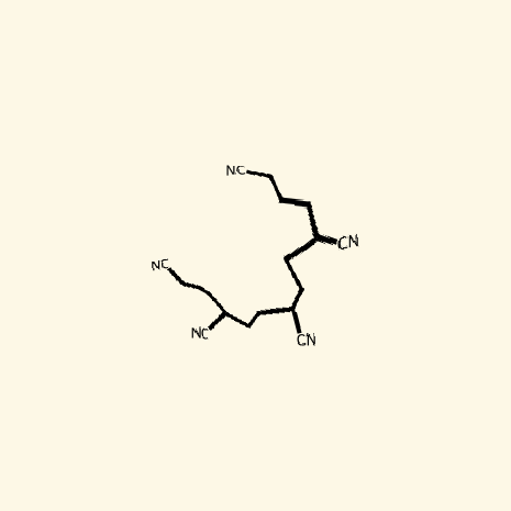 N#CCCCC(C#N)CCC(C#N)CCC(C#N)CCC#N